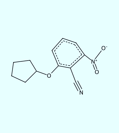 N#Cc1c(OC2CCCC2)cccc1[N+](=O)[O-]